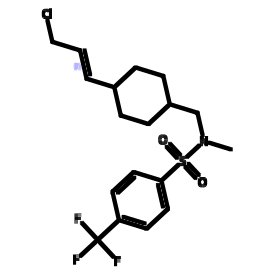 CN(CC1CCC(/C=C/CCl)CC1)S(=O)(=O)c1ccc(C(F)(F)F)cc1